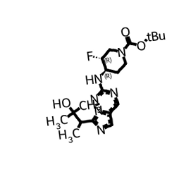 CC(c1ncc2cnc(N[C@@H]3CCN(C(=O)OC(C)(C)C)C[C@H]3F)nn12)C(C)(C)O